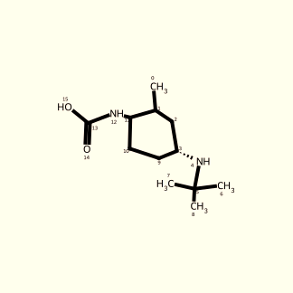 CC1C[C@H](NC(C)(C)C)CCC1NC(=O)O